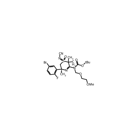 COCCOCN(C(=O)OC(C)(C)C)C1=N[C@](C)(c2cc(Br)ccc2F)CS(=O)(=NC#N)C1(C)C